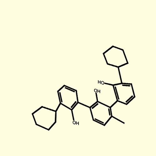 Cc1ccc(-c2cccc(C3CCCCC3)c2O)c(O)c1-c1cccc(C2CCCCC2)c1O